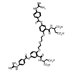 N=C(N)Nc1ccc(C(=O)Oc2ccc(OCCOCCOc3ccc(OC(=O)c4ccc(NC(=N)N)cc4)cc3C(=O)NC(CC(=O)O)C(=O)O)c(C(=O)NC(CC(=O)O)C(=O)O)c2)cc1